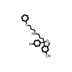 N#Cc1ccc2c(c1)COC2(CCCNCCCOc1ccccc1)c1ccc(F)cc1